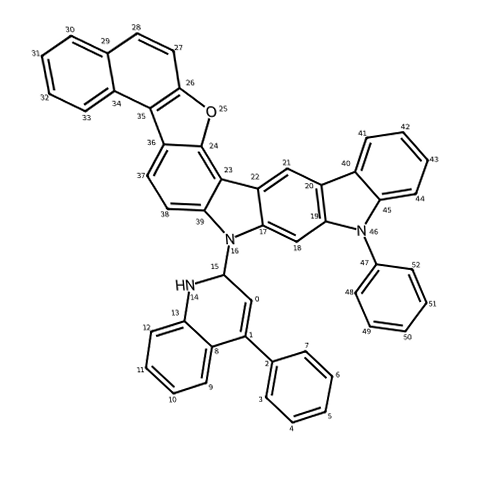 C1=C(c2ccccc2)c2ccccc2NC1n1c2cc3c(cc2c2c4oc5ccc6ccccc6c5c4ccc21)c1ccccc1n3-c1ccccc1